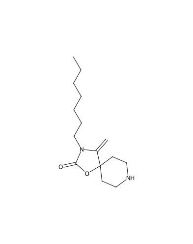 C=C1N(CCCCCCC)C(=O)OC12CCNCC2